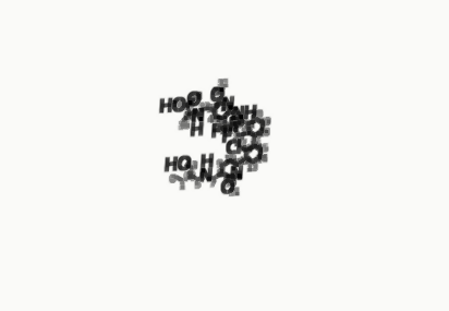 CC[C@H](CO)CNCc1ccc(-c2cccc(-c3cccc4c3CC[C@@H]4Nc3nc(OC)c(CN[C@@H](C)C(=O)O)cc3C(F)(F)F)c2Cl)nc1OC